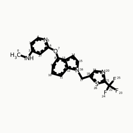 CNc1ccnc(Oc2cccc3c2ccn3Cc2cnc(C(F)(F)F)s2)c1